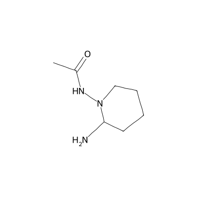 CC(=O)NN1CCCCC1N